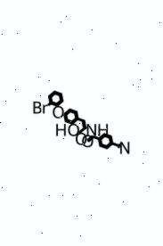 N#Cc1ccc(C(=O)NC(=Cc2ccc(Oc3ccccc3Br)cc2)C(=O)O)cc1